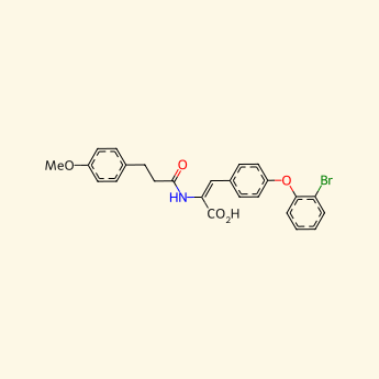 COc1ccc(CCC(=O)NC(=Cc2ccc(Oc3ccccc3Br)cc2)C(=O)O)cc1